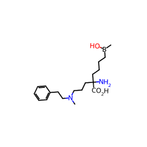 CB(O)CCCCC(N)(CCCN(C)CCc1ccccc1)C(=O)O